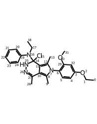 CCOc1ccc(-n2c(C)c3c(c2C)C(Cl)(N(CC)c2ccccc2)NN=C3C)c(OC)c1